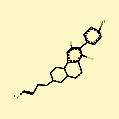 CC=CCCC1CCC2c3cc(F)c(-c4ccc(Cl)cc4)c(F)c3CCC2C1